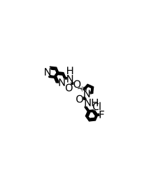 O=C(Nc1cc2ccncc2cn1)OC[C@@H]1CCCN1C(=O)NCc1cccc(F)c1Cl